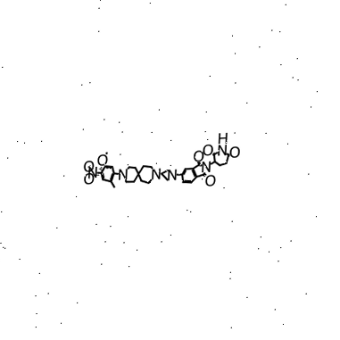 COc1cc(N2CCC3(CC2)CCN(C2CN(c4ccc5c(c4)C(=O)N(C4CCC(=O)NC4=O)C5=O)C2)CC3)c(C)cc1[N+](=O)[O-]